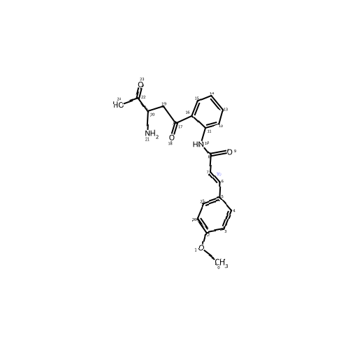 COc1ccc(/C=C/C(=O)Nc2ccccc2C(=O)CC(N)C(=O)O)cc1